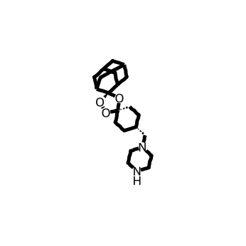 C1CN(C[C@H]2CC[C@]3(CC2)OO[C@]2(O3)C3CC4CC(C3)CC2C4)CCN1